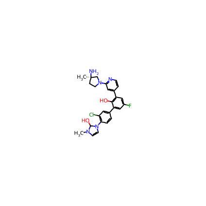 CN1C=CN(c2ccc(-c3cc(F)cc(-c4ccnc(N5CC[C@@](C)(N)C5)c4)c3O)cc2Cl)C1O